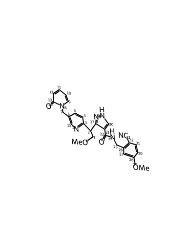 COCC(c1ccc(Cn2ccccc2=O)cn1)c1n[nH]cc1C(=O)NCc1cc(OC)ccc1C#N